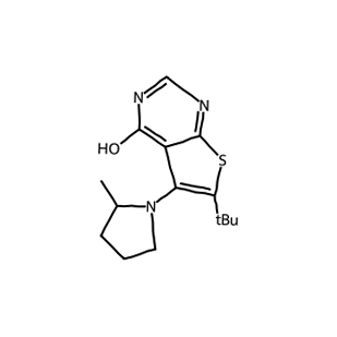 CC1CCCN1c1c(C(C)(C)C)sc2ncnc(O)c12